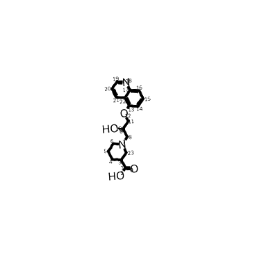 O=C(O)C1CCCN(C[C@@H](O)COc2cccc3ncccc23)C1